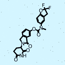 CN(C(=O)Oc1ccc2c(c1)C(=O)N(C1CCC(=O)NC1=O)C2)c1ccc2c(c1)CC(F)(F)O2